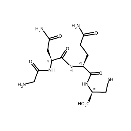 NCC(=O)N[C@@H](CC(N)=O)C(=O)N[C@@H](CCC(N)=O)C(=O)N[C@@H](CS)C(=O)O